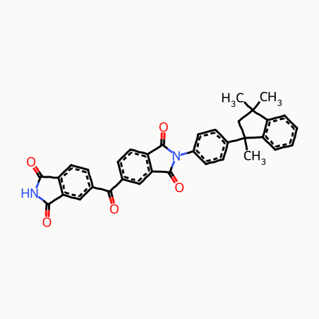 CC1(C)CC(C)(c2ccc(N3C(=O)c4ccc(C(=O)c5ccc6c(c5)C(=O)NC6=O)cc4C3=O)cc2)c2ccccc21